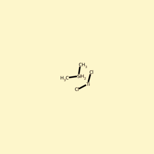 C[SiH2]C.[Cl][Ti][Cl]